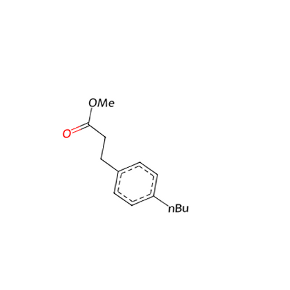 CCCCc1ccc(CCC(=O)OC)cc1